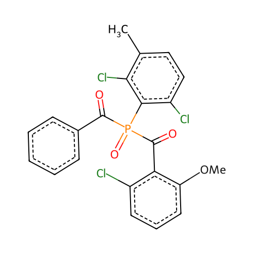 COc1cccc(Cl)c1C(=O)P(=O)(C(=O)c1ccccc1)c1c(Cl)ccc(C)c1Cl